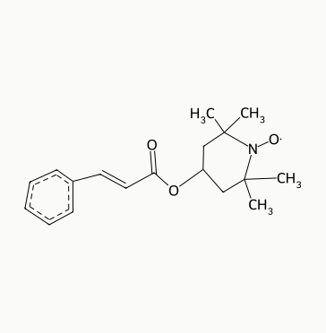 CC1(C)CC(OC(=O)/C=C/c2ccccc2)CC(C)(C)N1[O]